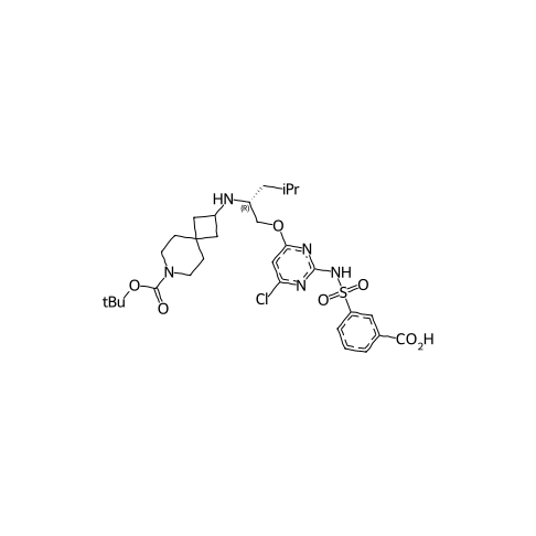 CC(C)C[C@H](COc1cc(Cl)nc(NS(=O)(=O)c2cccc(C(=O)O)c2)n1)NC1CC2(CCN(C(=O)OC(C)(C)C)CC2)C1